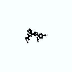 Cn1cc(-c2cn3nccc3c(-c3cnn([C@]4(CC#N)CC[C@@H](C#N)CC4)c3)n2)cn1